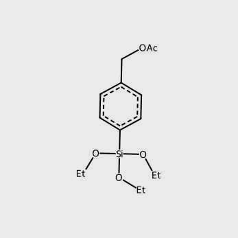 CCO[Si](OCC)(OCC)c1ccc(COC(C)=O)cc1